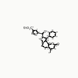 CCOC(=O)c1cc(C(=O)c2oc3ccc4c(C)cc(=O)oc4c3c2-c2ccccc2)on1